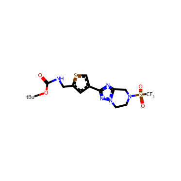 CC(C)(C)OC(=O)NCc1cc(-c2nc3n(n2)CCN(S(=O)(=O)C(F)(F)F)C3)cs1